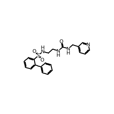 O=C(NCCNS(=O)(=O)c1ccccc1-c1ccccc1)NCc1cccnc1